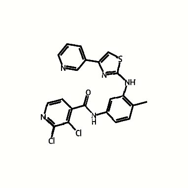 Cc1ccc(NC(=O)c2ccnc(Cl)c2Cl)cc1Nc1nc(-c2cccnc2)cs1